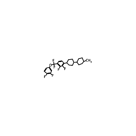 CC1CCC(C2CCC(c3ccc(C(F)(F)Oc4ccc(F)c(F)c4)c(F)c3F)CC2)CC1